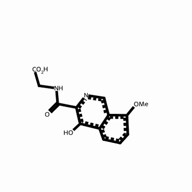 COc1cccc2c(O)c(C(=O)NCC(=O)O)ncc12